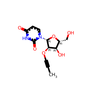 CC#CO[C@@H]1[C@H](O)[C@@H](CO)O[C@H]1n1ccc(=O)[nH]c1=O